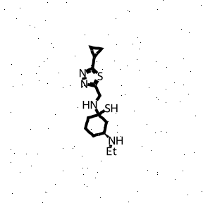 CCN[C@H]1CCCC(S)(NCc2nnc(C3CC3)s2)C1